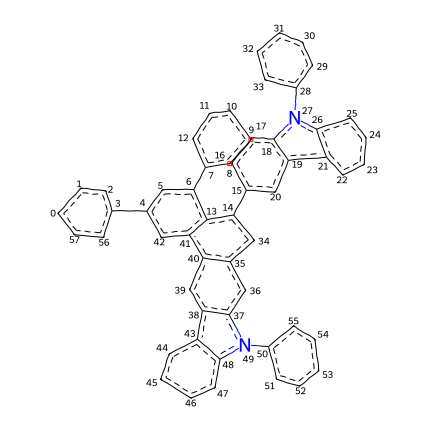 c1ccc(-c2cc(-c3ccccc3)c3c(-c4ccc5c(c4)c4ccccc4n5-c4ccccc4)cc4cc5c(cc4c3c2)c2ccccc2n5-c2ccccc2)cc1